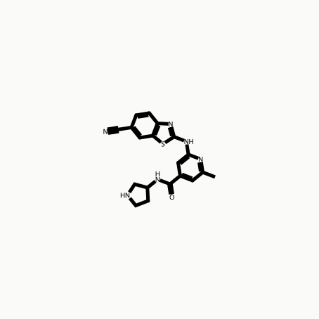 Cc1cc(C(=O)NC2CCNC2)cc(Nc2nc3ccc(C#N)cc3s2)n1